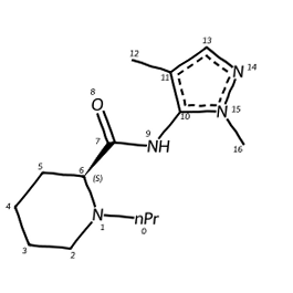 CCCN1CCCC[C@H]1C(=O)Nc1c(C)cnn1C